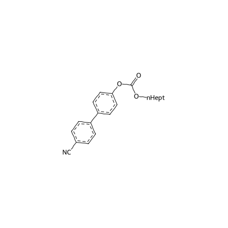 CCCCCCCOC(=O)Oc1ccc(-c2ccc(C#N)cc2)cc1